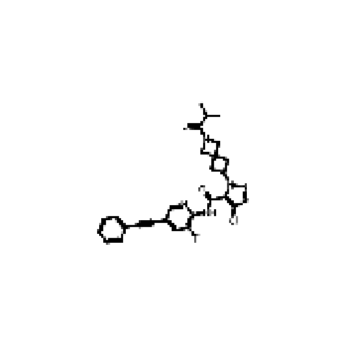 CC(C)C(=O)N1CC2(CC(n3ncc(Cl)c3C(=O)Nc3ncc(C#Cc4ccccc4)cc3F)C2)C1